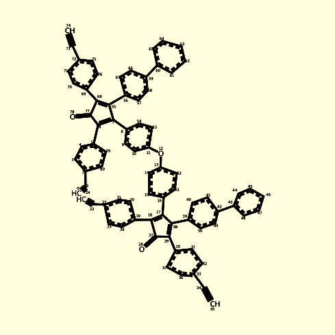 C#Cc1ccc(C2=C(c3ccc(Oc4ccc(C5=C(c6ccc(C#C)cc6)C(=O)C(c6ccc(C#C)cc6)=C5c5ccc(-c6ccccc6)cc5)cc4)cc3)C(c3ccc(-c4ccccc4)cc3)=C(c3ccc(C#C)cc3)C2=O)cc1